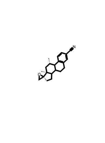 C[C@H]1C[C@@]2(C)C(CC[C@@]23CO3)C2CCc3cc(C#N)ccc3C21